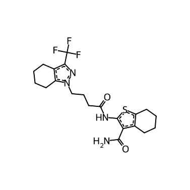 NC(=O)c1c(NC(=O)CCCn2nc(C(F)(F)F)c3c2CCCC3)sc2c1CCCC2